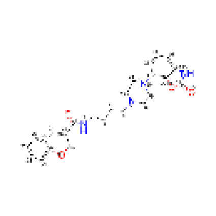 O=C(NCCCCN1CCN(c2cccc3[nH]c(=O)oc23)CC1)C1=Cc2ccccc2OC1